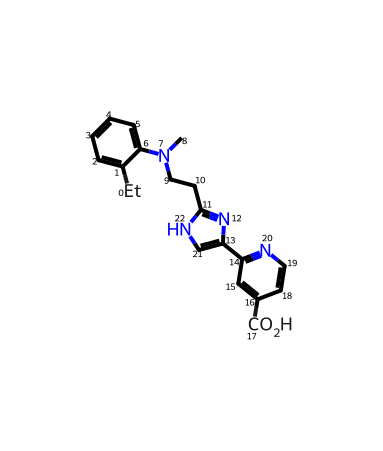 CCc1ccccc1N(C)CCc1nc(-c2cc(C(=O)O)ccn2)c[nH]1